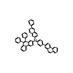 c1ccc(-c2ccc3cc(N(c4ccc(-c5ccc6c(ccc7ccccc76)c5)cc4)c4ccc5c(c4)c(-c4ccccc4)c(-c4ccccc4)c4ccccc45)ccc3c2)cc1